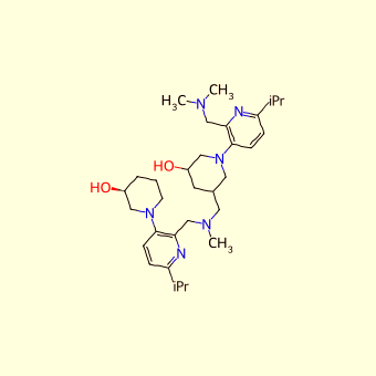 CC(C)c1ccc(N2CC(O)CC(CN(C)Cc3nc(C(C)C)ccc3N3CCC[C@H](O)C3)C2)c(CN(C)C)n1